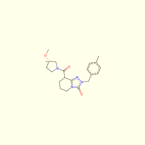 CO[C@H]1CCN(C(=O)C2CCCn3c2nn(Cc2ccc(C)cc2)c3=O)C1